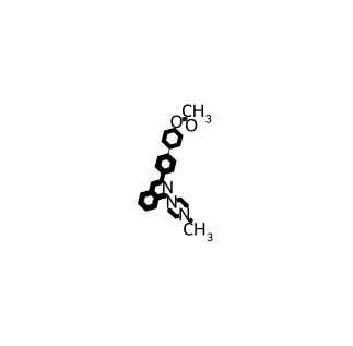 CCN1CCN(c2nc(-c3ccc([C@H]4CC[C@H](OC(C)=O)CC4)cc3)cc3ccccc23)CC1